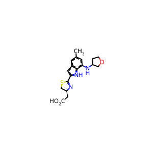 Cc1cc(NC2CCOC2)c2[nH]c(C3=N[C@@H](CC(=O)O)CS3)cc2c1